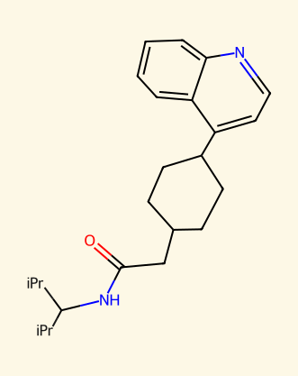 CC(C)C(NC(=O)CC1CCC(c2ccnc3ccccc23)CC1)C(C)C